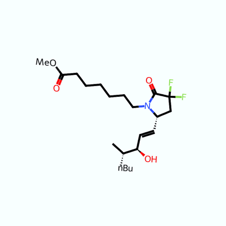 CCCC[C@H](C)[C@H](O)C=C[C@H]1CC(F)(F)C(=O)N1CCCCCCC(=O)OC